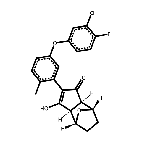 Cc1ccc(Oc2ccc(F)c(Cl)c2)cc1C1=C(O)[C@H]2[C@@H](C1=O)[C@@H]1CC[C@H]2O1